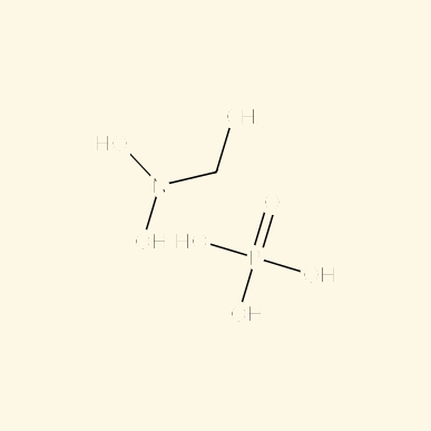 CCN(O)O.O=P(O)(O)O